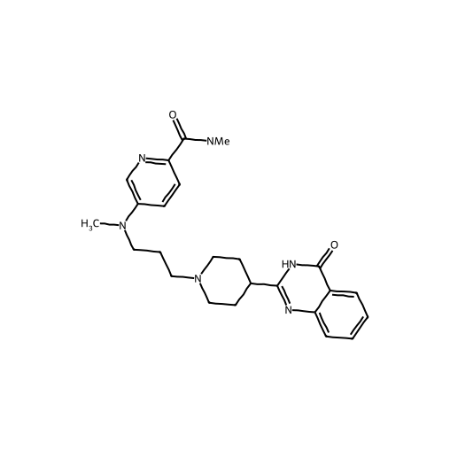 CNC(=O)c1ccc(N(C)CCCN2CCC(c3nc4ccccc4c(=O)[nH]3)CC2)cn1